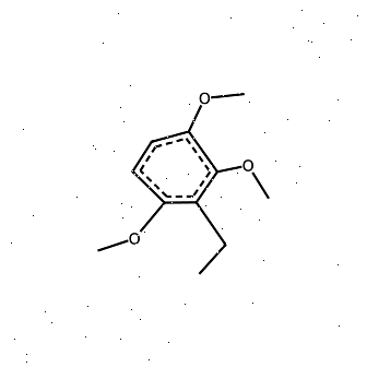 CCc1c(OC)ccc(OC)c1OC